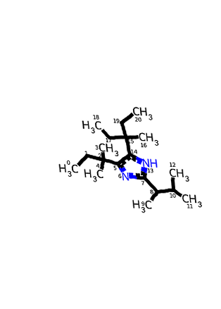 CCC(C)(C)c1nc(C(C)C(C)C)[nH]c1C(C)(CC)CC